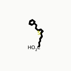 O=C(O)CCCC=Cc1ccc(CCc2ccccc2)s1